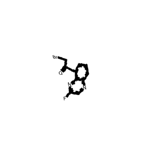 O=C(CBr)c1cccc2ncc(F)nc12